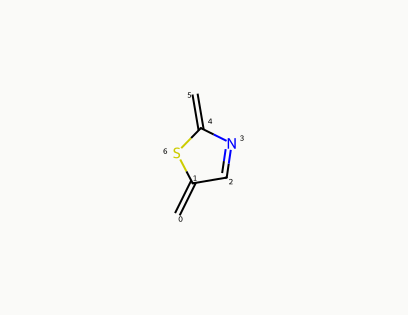 C=c1cnc(=C)s1